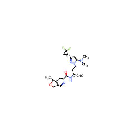 CC1OCc2cnc(C(=O)N[C@H](C=O)CCn3nc([C@@H]4CC4(F)F)cc3N(C)C)cc21